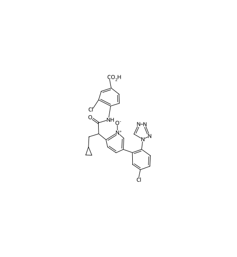 O=C(O)c1ccc(NC(=O)C(CC2CC2)c2ccc(-c3cc(Cl)ccc3-n3cnnn3)c[n+]2[O-])c(Cl)c1